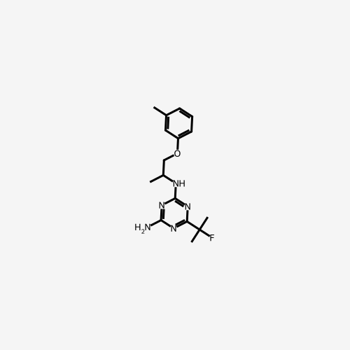 Cc1cccc(OCC(C)Nc2nc(N)nc(C(C)(C)F)n2)c1